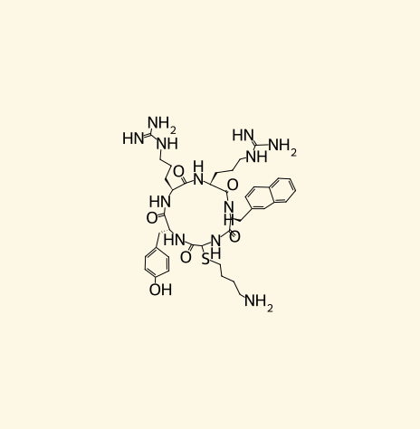 N=C(N)NCCC[C@@H]1NC(=O)[C@H](CCCNC(=N)N)NC(=O)[C@@H](Cc2ccc(O)cc2)NC(=O)C(SCCCCN)NC(=O)[C@H](Cc2ccc3ccccc3c2)NC1=O